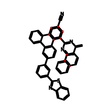 C=C(/N=C(\N=C(/C)c1ccccc1)c1cccc(-c2ccccc2-c2cc(-c3cccc(-c4nc5ccccc5s4)c3)ccc2-c2ccc(C#N)cc2)c1)c1ccccc1